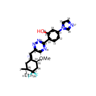 CC[C@]1(C)C/C(=C/c2cnc(-c3ccc(-n4ccnc4)cc3O)nn2)[C@@H](OC)CC1(F)F